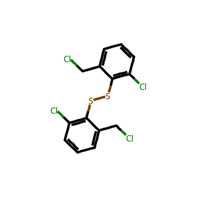 ClCc1cccc(Cl)c1SSc1c(Cl)cccc1CCl